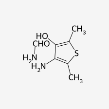 Cc1sc(C)c(O)c1N.NC=O